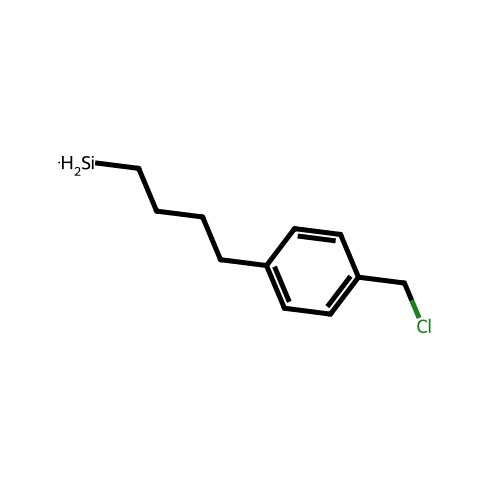 [SiH2]CCCCc1ccc(CCl)cc1